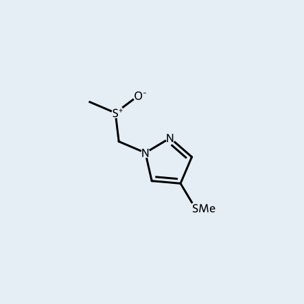 CSc1cnn(C[S+](C)[O-])c1